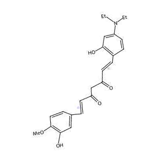 CCN(CC)c1ccc(/C=C/C(=O)CC(=O)/C=C/c2ccc(OC)c(O)c2)c(O)c1